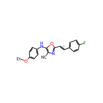 CCOc1ccc(Nc2oc(/C=C/c3ccc(F)cc3)nc2C#N)cc1